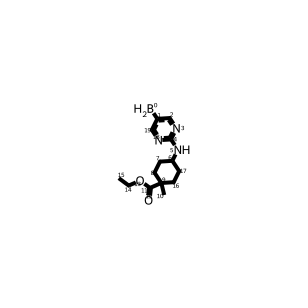 Bc1cnc(NC2CCC(C)(C(=O)OCC)CC2)nc1